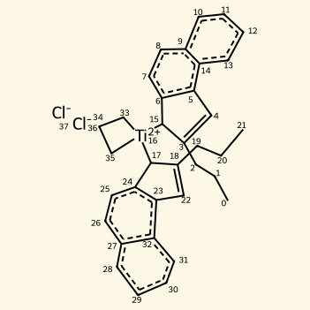 CCCC1=Cc2c(ccc3ccccc23)[CH]1[Ti+2]1([CH]2C(CCC)=Cc3c2ccc2ccccc32)[CH2]C[CH2]1.[Cl-].[Cl-]